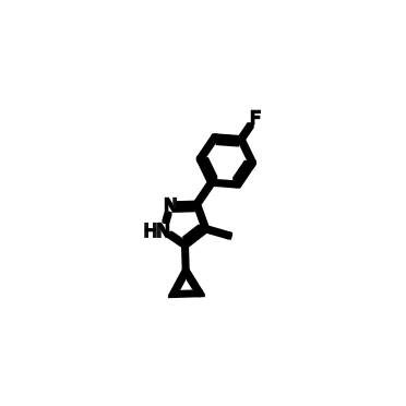 Cc1c(-c2ccc(F)cc2)n[nH]c1C1CC1